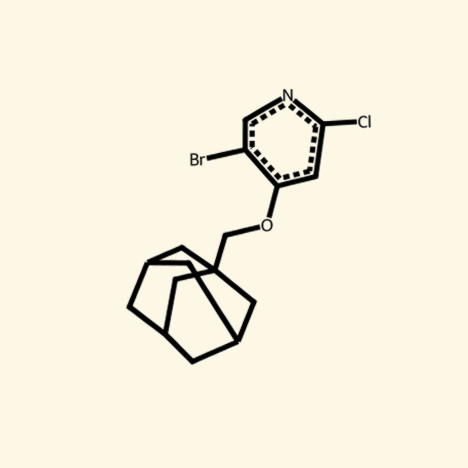 Clc1cc(OCC23CC4CC(CC(C4)C2)C3)c(Br)cn1